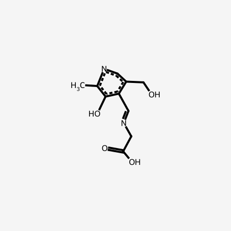 Cc1ncc(CO)c(C=NCC(=O)O)c1O